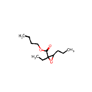 CCCCOC(=O)C1(CC)OC1CCC